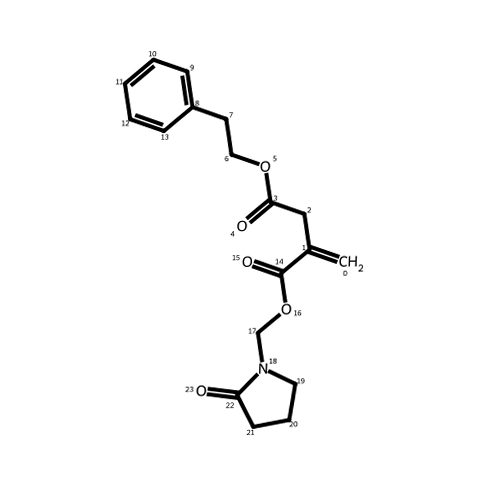 C=C(CC(=O)OCCc1ccccc1)C(=O)OCN1CCCC1=O